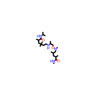 CNC(=O)C(C)CC(C)CN(C)OCC(C)NCCC(C)(C)CC(C)C(=O)NC(C)C